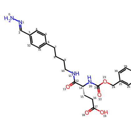 NN=Cc1ccc(CCCCNC(=O)[C@@H](CCC(=O)O)NC(=O)OCc2ccccc2)cc1